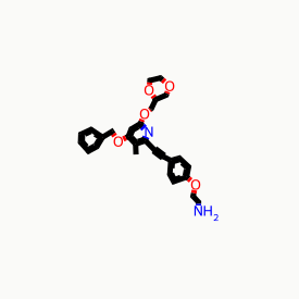 Cc1c(OCc2ccccc2)cc(OCC2COCCO2)nc1C#Cc1ccc(OCCN)cc1